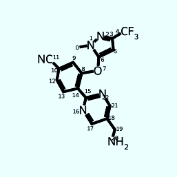 Cn1nc(C(F)(F)F)cc1Oc1cc(C#N)ccc1-c1ncc(CN)cn1